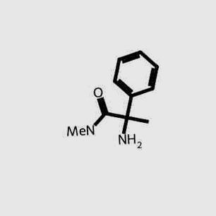 CNC(=O)C(C)(N)c1ccccc1